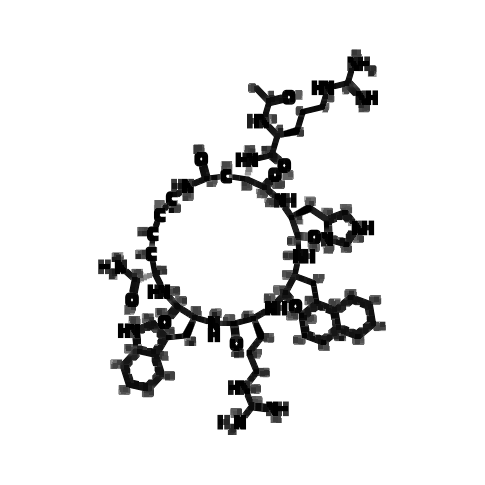 CC(=O)N[C@@H](CCCNC(=N)N)C(=O)N[C@H]1CC(=O)NCCCC[C@@H](C(N)=O)NC(=O)[C@H](Cc2c[nH]c3ccccc23)NC(=O)[C@H](CCCNC(=N)N)NC(=O)C(Cc2cccc3ccccc23)NC(=O)[C@H](Cc2c[nH]cn2)NC1=O